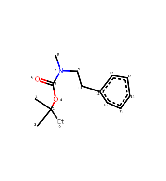 CCC(C)(C)OC(=O)N(C)CCc1ccccc1